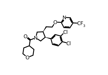 O=C(C1CCOCC1)N1C[C@@H](CCOc2ccc(C(F)(F)F)cn2)[C@@H](c2ccc(Cl)c(Cl)c2)C1